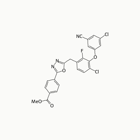 COC(=O)c1ccc(-c2nnc(Cc3ccc(Cl)c(Oc4cc(Cl)cc(C#N)c4)c3F)o2)cc1